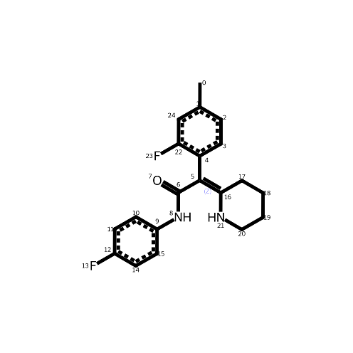 Cc1ccc(/C(C(=O)Nc2ccc(F)cc2)=C2\CCCCN2)c(F)c1